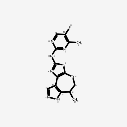 Cc1nc(Nc2nc3c(s2)OCC(C)c2[nH]ncc2-3)ncc1F